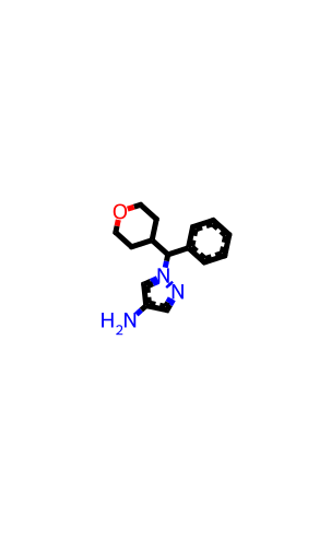 Nc1cnn(C(c2ccccc2)C2CCOCC2)c1